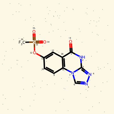 O=c1[nH]c2nncn2c2ccc(OS(=O)(=O)C(F)(F)F)cc12